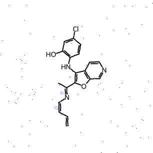 C=C/C=C\N=C(/C)c1oc2cnccc2c1Nc1ccc(Cl)cc1O